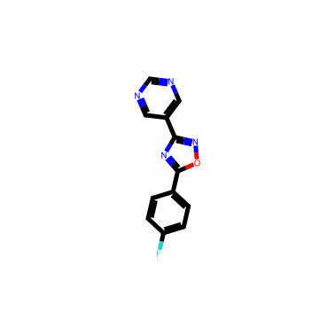 Fc1ccc(-c2nc(-c3cncnc3)no2)cc1